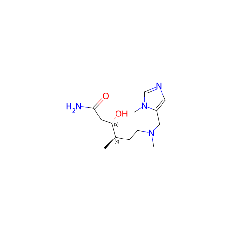 C[C@H](CCN(C)Cc1cncn1C)[C@@H](O)CC(N)=O